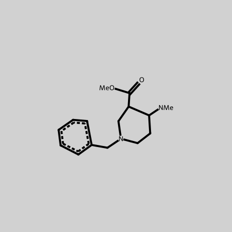 CNC1CCN(Cc2ccccc2)CC1C(=O)OC